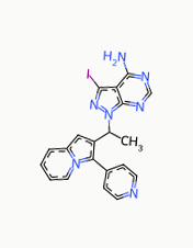 CC(c1cc2ccccn2c1-c1ccncc1)n1nc(I)c2c(N)ncnc21